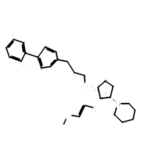 COC=CC[C@H]1[C@H](N2CCCCC2)CC[C@H]1OCCCc1ccc(-c2ccccc2)cc1